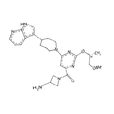 COC[C@@H](C)Oc1nc(C(=O)N2CC(N)C2)cc(N2CCC(c3c[nH]c4ncccc34)CC2)n1